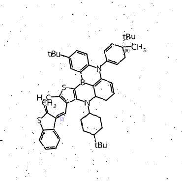 C=c1sc2ccccc2/c1=C/c1c(C)sc2c1N(C1CCC(C(C)(C)C)CC1)C1CC=CC3=C1B2c1cc(C(C)(C)C)ccc1N3C1=CC[C@@](C)(C(C)(C)C)C=C1